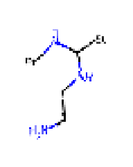 [CH2]CC(NCC)NCCN